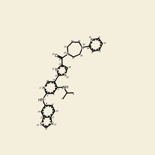 CC(C)Nc1cc(Nc2ccc3ncsc3c2)ncc1-c1nc(C(=O)N2CCCN(c3ccccn3)CC2)cs1